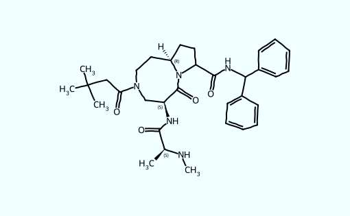 CN[C@@H](C)C(=O)N[C@H]1CN(C(=O)CC(C)(C)C)CC[C@H]2CCC(C(=O)NC(c3ccccc3)c3ccccc3)N2C1=O